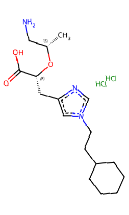 C[C@@H](CN)O[C@H](Cc1cn(CCC2CCCCC2)cn1)C(=O)O.Cl.Cl